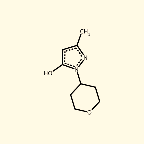 Cc1cc(O)n(C2CCOCC2)n1